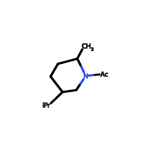 CC(=O)N1CC(C(C)C)CCC1C